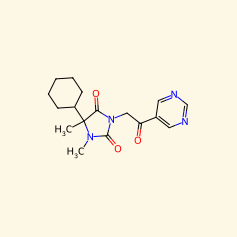 CN1C(=O)N(CC(=O)c2cncnc2)C(=O)C1(C)C1CCCCC1